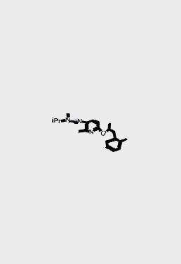 Cc1ccccc1CC(C)Oc1ccc(/N=C/N(C)C(C)C)c(C)n1